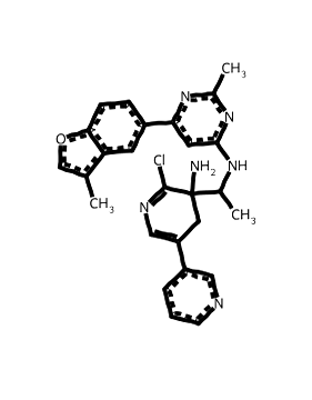 Cc1nc(NC(C)C2(N)CC(c3cccnc3)=CN=C2Cl)cc(-c2ccc3occ(C)c3c2)n1